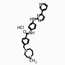 CN1CCCN(Cc2ccc(C(=O)Nc3ccc(Nc4nccc(-c5cccnc5)n4)cc3)cc2)CC1.Cl